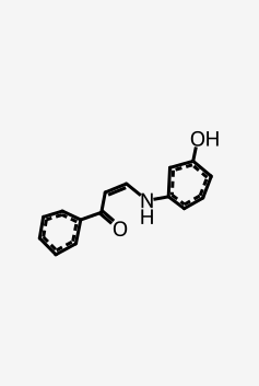 O=C(/C=C\Nc1cccc(O)c1)c1ccccc1